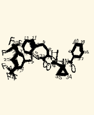 O=C(NC1(C(=O)NC2CCc3ccccc3N(Cc3cc(C(F)(F)F)cc(C(F)(F)F)c3)C2=O)CC1)c1ccccc1